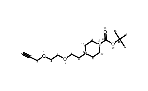 C#CCOCCOCCN1CCN(C(=O)OC(C)(C)C)CC1